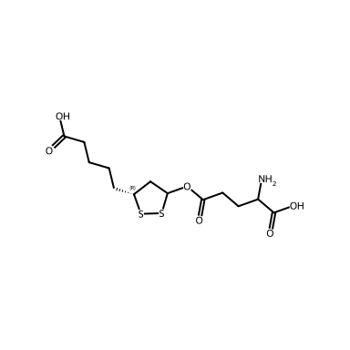 NC(CCC(=O)OC1C[C@@H](CCCCC(=O)O)SS1)C(=O)O